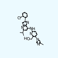 Cc1cn(-c2ccc(Nc3cc(C(C)C)nn4cc(-c5ccccc5Cl)nc34)nc2CO)cn1